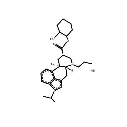 Br.CCCN1C[C@H](C(=O)OC2CCCCC2O)C[C@@H]2c3cccc4c3c(cn4C(C)C)C[C@H]21